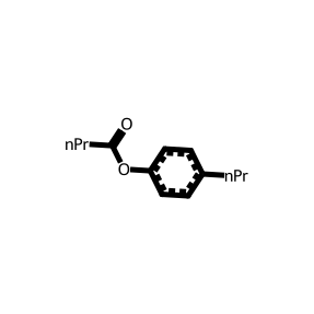 [CH2]CCc1ccc(OC(=O)CCC)cc1